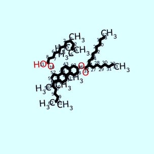 CC(CCCCCCCC(=O)O)CC(C)(C)C.CCCCCCCCCC(CCCCCCC)C(=O)OC1CC[C@@]2(C)C(=CCC3C2CC[C@@]2(C)C3CC[C@@H]2[C@H](C)CCCC(C)C)C1